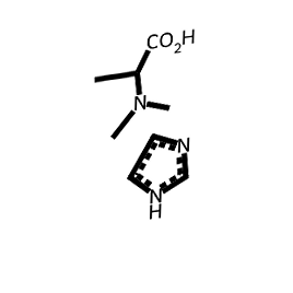 CC(C(=O)O)N(C)C.c1c[nH]cn1